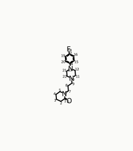 O=C1CCCCN1CCCN1CCN(c2ccc(F)cc2)CC1